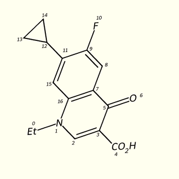 CCn1cc(C(=O)O)c(=O)c2cc(F)c(C3CC3)cc21